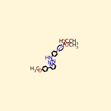 COc1ccc(-c2cccc3nc(Nc4ccc(N5CCN(C(=O)OC(C)(C)C)CC5)cc4)nn23)cc1